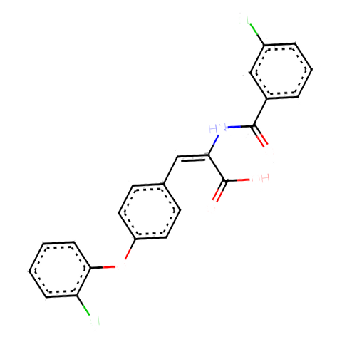 O=C(O)/C(=C\c1ccc(Oc2ccccc2Cl)cc1)NC(=O)c1cccc(Cl)c1